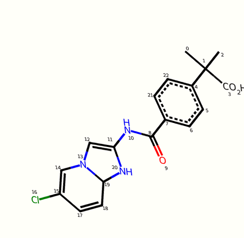 CC(C)(C(=O)O)c1ccc(C(=O)NC2=CN3C=C(Cl)C=CC3N2)cc1